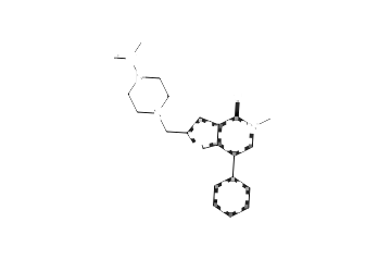 Cn1cc(-c2ccccc2)c2sc(CN3CCN([S+](C)[O-])CC3)cc2c1=O